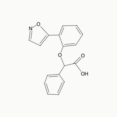 O=C(O)C(Oc1ccccc1-c1ccno1)c1ccccc1